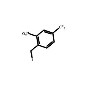 O=[N+]([O-])c1cc(C(F)(F)F)ccc1CI